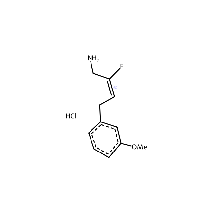 COc1cccc(C/C=C(/F)CN)c1.Cl